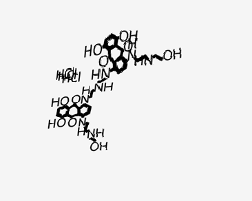 Cl.Cl.Cl.O=C1c2c(O)ccc(O)c2C(=O)c2c(NCCNCCNc3ccc(NCCNCCO)c4c3C(=O)c3c(O)ccc(O)c3C4=O)ccc(NCCNCCO)c21